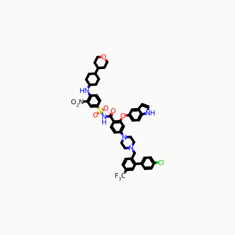 O=C(NS(=O)(=O)c1ccc(NC2CCC(C3CCOCC3)CC2)c([N+](=O)[O-])c1)c1ccc(N2CCN(Cc3ccc(C(F)(F)F)cc3-c3ccc(Cl)cc3)CC2)cc1Oc1ccc2[nH]ccc2c1